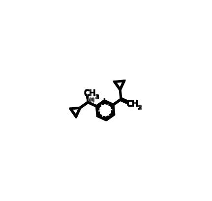 C=C(c1[c]c([C@H](C)C2CC2)ccc1)C1CC1